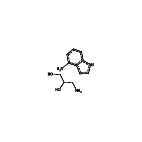 NCC(O)CO.Nc1cccc2[nH]ccc12